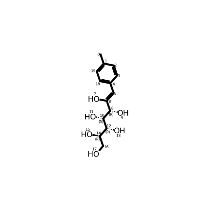 Cc1ccc(C=C(O)[C@H](O)[C@@H](O)[C@H](O)[C@H](O)CO)cc1